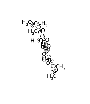 C=CC(=O)Oc1ccc(C(=O)Oc2ccc(C(=O)O[C@@H]3CO[C@H]4[C@@H]3OC[C@@H]4OC(=O)c3ccc(OC(=O)c4cc(C)c(OC(=O)C=C)cc4C)cc3OC)c(OC)c2)cc1C